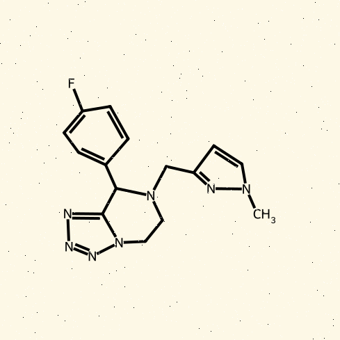 Cn1ccc(CN2CCn3nnnc3C2c2ccc(F)cc2)n1